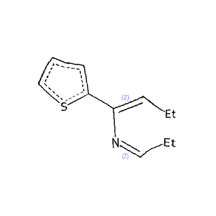 CC/C=N\C(=C/CC)c1cccs1